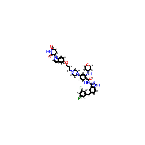 O=C1CCC(n2ccc3cc(OCCCN4CCN(c5ccc(C(=O)Nc6n[nH]c7ccc(Cc8cc(F)cc(F)c8)cc67)c(NC6CCOCC6)c5)CC4)ccc32)C(=O)N1